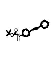 CC(C)(C)OC(=O)Nc1ccc(C#Cc2ccccc2)cc1